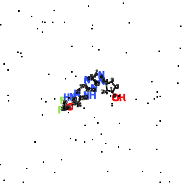 OC1CC[C@H](n2ncc3ncc(Nc4cc(OC(F)F)[nH]n4)nc32)C1